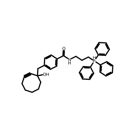 O=C(NCCC[PH](c1ccccc1)(c1ccccc1)c1ccccc1)c1ccc(CC2(O)C#CCCCCC2)cc1